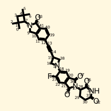 CC1(C)CC(C)(C)C1N1Cc2cc(C#CC3CN(c4cc5c(cc4F)C(=O)N(C4CCC(=O)NC4=O)C5=O)C3)ccc2C1=O